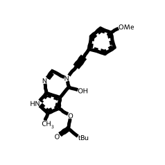 COc1ccc(C#CN2C=Nc3[nH]c(C)c(OC(=O)C(C)(C)C)c3C2O)cc1